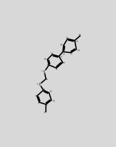 Cc1ccc(SCSc2ccc(-c3ccc(C)cc3)cc2)cc1